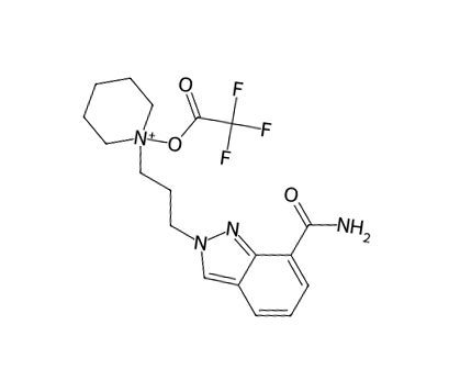 NC(=O)c1cccc2cn(CCC[N+]3(OC(=O)C(F)(F)F)CCCCC3)nc12